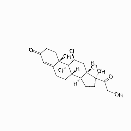 C[C@]12CCC(=O)C=C1CC[C@H]1[C@@H]3CC[C@](O)(C(=O)CO)[C@@]3(C)C[C@H](Cl)[C@@]12Cl